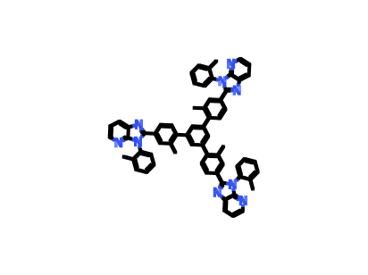 Cc1cc(-c2nc3cccnc3n2-c2ccccc2C)ccc1-c1cc(-c2ccc(-c3nc4cccnc4n3-c3ccccc3C)cc2C)cc(-c2ccc(-c3nc4cccnc4n3-c3ccccc3C)cc2C)c1